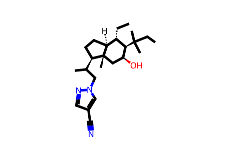 CC[C@@H]1[C@@H](C(C)(C)CC)[C@@H](O)C[C@]2(C)[C@@H](C(C)Cn3cc(C#N)cn3)CC[C@@H]12